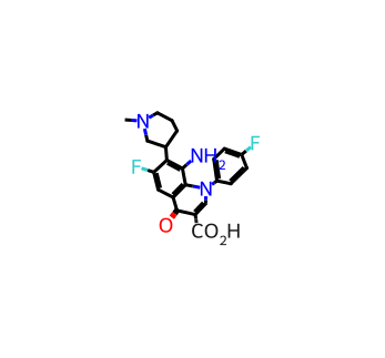 CN1CCCC(c2c(F)cc3c(=O)c(C(=O)O)cn(-c4ccc(F)cc4)c3c2N)C1